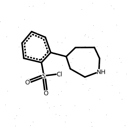 O=S(=O)(Cl)c1ccccc1C1CCCNCC1